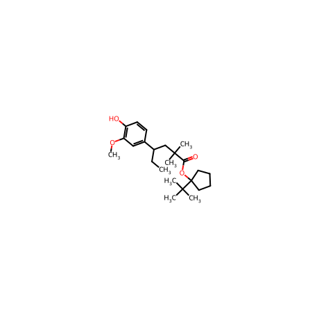 CCC(CC(C)(C)C(=O)OC1(C(C)(C)C)CCCC1)c1ccc(O)c(OC)c1